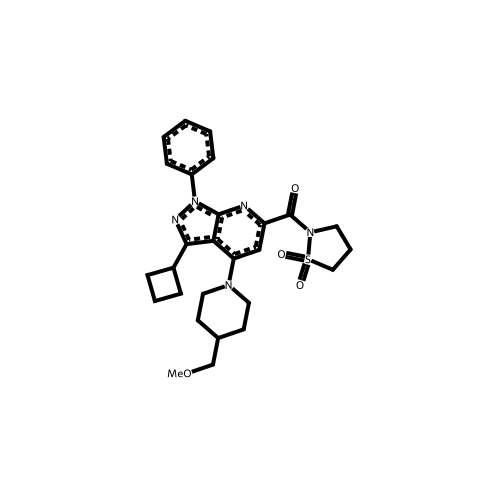 COCC1CCN(c2cc(C(=O)N3CCCS3(=O)=O)nc3c2c(C2CCC2)nn3-c2ccccc2)CC1